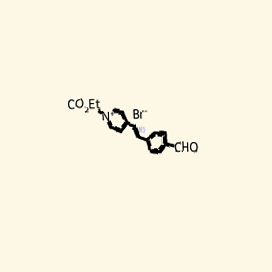 CCOC(=O)C[n+]1ccc(/C=C/c2ccc(C=O)cc2)cc1.[Br-]